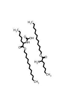 CCCCCCCCCCCCOC(=O)C(CCCCC)NC(=O)O.CCCCCCCCCCCCOC(=O)C(N)CCCCC